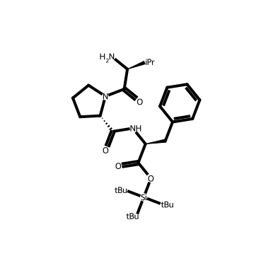 CC(C)[C@H](N)C(=O)N1CCC[C@H]1C(=O)N[C@@H](Cc1ccccc1)C(=O)O[Si](C(C)(C)C)(C(C)(C)C)C(C)(C)C